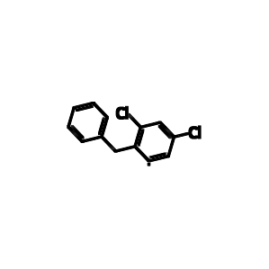 Clc1c[c]c(Cc2ccccc2)c(Cl)c1